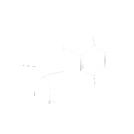 CC(C)O[Si](COc1c(F)c(F)c(F)c(F)c1F)(OC(C)C)OC(C)C